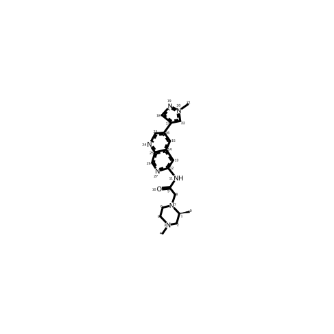 C[C@H]1CN(C)CCN1CC(=O)Nc1cc2cc(-c3cnn(C)c3)cnc2cn1